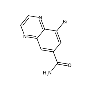 NC(=O)c1cc(Br)c2nccnc2c1